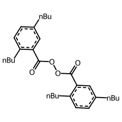 CCCCc1ccc(CCCC)c(C(=O)OOC(=O)c2cc(CCCC)ccc2CCCC)c1